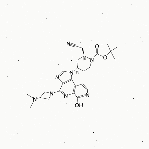 CN(C)C1CN(c2nc3c(O)nccc3c3c2ncn3[C@H]2CCN(C(=O)OC(C)(C)C)[C@H](CC#N)C2)C1